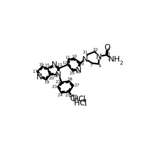 Cl.Cl.NC(=O)N1CCN(c2ccc(-c3nc4ccncc4n3-c3ccc(Cl)cc3)cn2)CC1